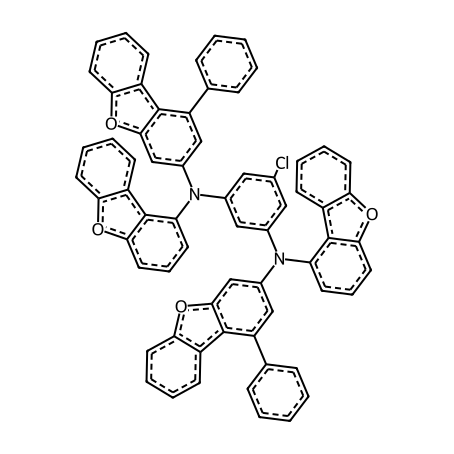 Clc1cc(N(c2cc(-c3ccccc3)c3c(c2)oc2ccccc23)c2cccc3oc4ccccc4c23)cc(N(c2cc(-c3ccccc3)c3c(c2)oc2ccccc23)c2cccc3oc4ccccc4c23)c1